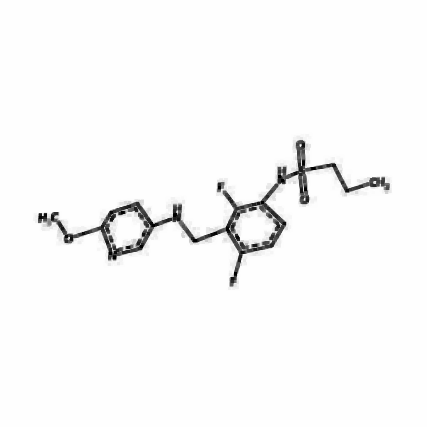 CCCS(=O)(=O)Nc1ccc(F)c(CNc2ccc(OC)nc2)c1F